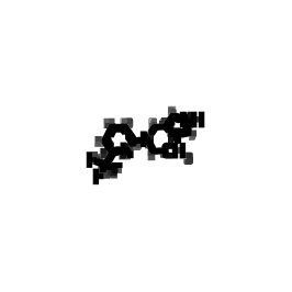 CCN(Cc1c[nH]cn1)c1cccc(C(F)(F)F)n1